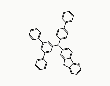 c1ccc(-c2ccc(N(c3cc(-c4ccccc4)cc(-c4ccccc4)c3)c3ccc4c(c3)oc3cccnc34)cc2)cc1